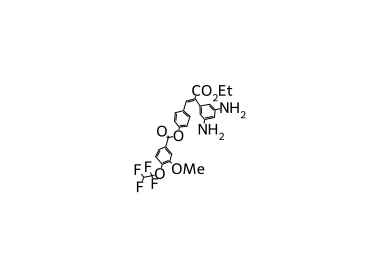 CCOC(=O)C(=Cc1ccc(OC(=O)c2ccc(OC(F)(F)C(F)F)c(OC)c2)cc1)c1cc(N)cc(N)c1